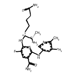 Cc1cc(Nc2nc(N[C@H](CCCCC(N)=O)[C@H](C)N)c(F)cc2C(N)=O)cnc1C